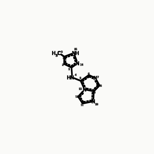 Cc1cc(Nc2cncc3nccn23)n[nH]1